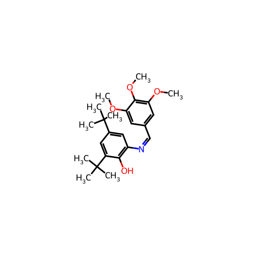 COc1cc(/C=N\c2cc(C(C)(C)C)cc(C(C)(C)C)c2O)cc(OC)c1OC